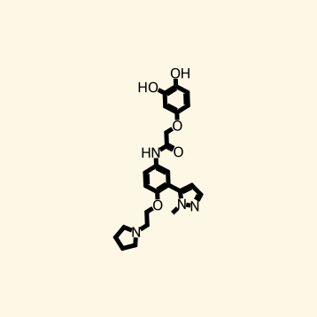 Cn1nccc1-c1cc(NC(=O)COc2ccc(O)c(O)c2)ccc1OCCN1CCCC1